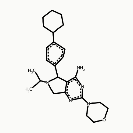 CC(C)N1Cc2nc(N3CCOCC3)nc(N)c2C1c1ccc(C2CCCCC2)cc1